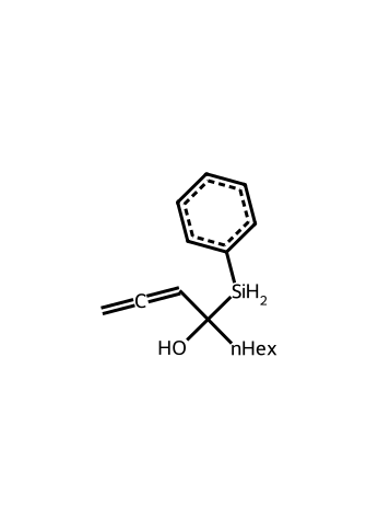 C=C=CC(O)(CCCCCC)[SiH2]c1ccccc1